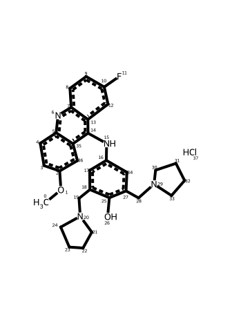 COc1ccc2nc3ccc(F)cc3c(Nc3cc(CN4CCCC4)c(O)c(CN4CCCC4)c3)c2c1.Cl